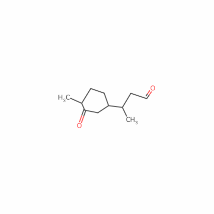 CC1CCC(C(C)CC=O)CC1=O